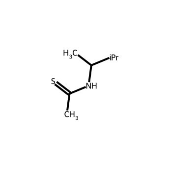 CC(=S)NC(C)C(C)C